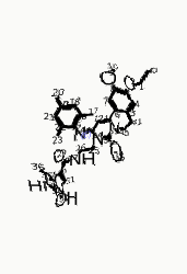 CCOc1cc2c(cc1OC)-c1c/c(=N\c3c(C)cc(C)cc3C)n(CCNC(=O)C3=CN(O)NN3C)c(=O)n1CC2